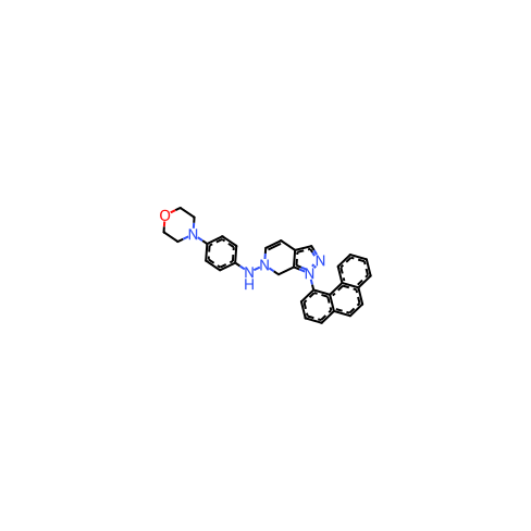 C1=CN(Nc2ccc(N3CCOCC3)cc2)Cc2c1cnn2-c1cccc2ccc3ccccc3c12